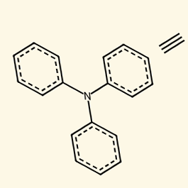 C#C.c1ccc(N(c2ccccc2)c2ccccc2)cc1